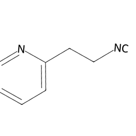 [C-]#[N+]CCc1ccccn1